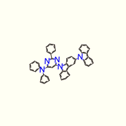 c1ccc(-c2nc(N(c3ccccc3)c3ccccc3)cc(-n3c4ccccc4c4cc(-n5c6ccccc6c6ccccc65)ccc43)n2)cc1